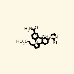 CCc1nccn1-c1ccc(-c2ccc(CCC(=O)O)n2-c2ccc(C(N)=O)cc2CN)cc1